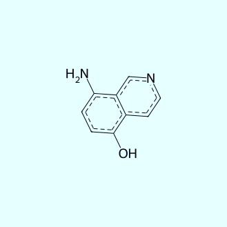 Nc1ccc(O)c2ccncc12